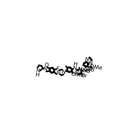 COc1cc(N2CCN(Cc3cc4c(cc3F)C(=O)N(C3CCCNC3)C4)CC2)c(C)cc1Nc1ncc(Br)c(Nc2ccc3nccnc3c2P(=O)(OC)OC)n1